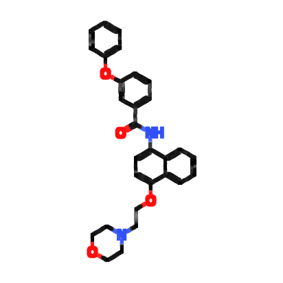 O=C(Nc1ccc(OCCN2CCOCC2)c2ccccc12)c1cccc(Oc2ccccc2)c1